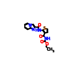 CCOC(=O)NC(=O)c1ccsc1NC(=O)c1cn2ccccc2n1